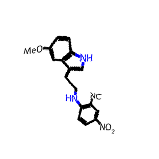 [C-]#[N+]c1cc([N+](=O)[O-])ccc1NCCc1c[nH]c2ccc(OC)cc12